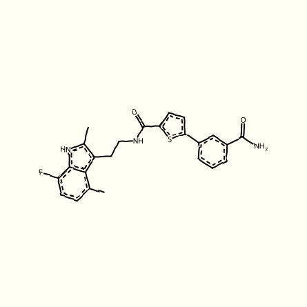 Cc1[nH]c2c(F)ccc(C)c2c1CCNC(=O)c1ccc(-c2cccc(C(N)=O)c2)s1